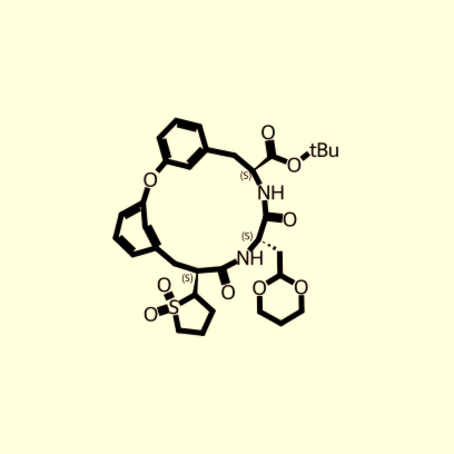 CC(C)(C)OC(=O)[C@@H]1Cc2cccc(c2)Oc2cccc(c2)C[C@H](C2CCCS2(=O)=O)C(=O)N[C@@H](CC2OCCCO2)C(=O)N1